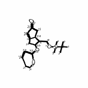 CC(C)(C)[Si](C)(C)OCC1C(OC2CCCCO2)CC2=CC(=O)CC21